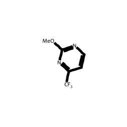 COc1nccc(C(F)(F)F)n1